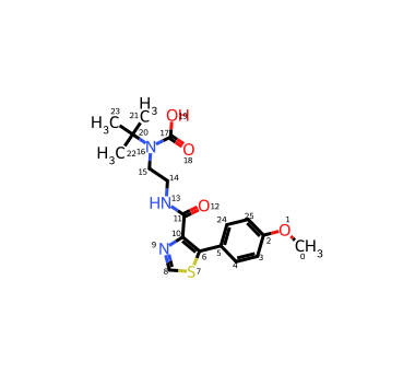 COc1ccc(-c2scnc2C(=O)NCCN(C(=O)O)C(C)(C)C)cc1